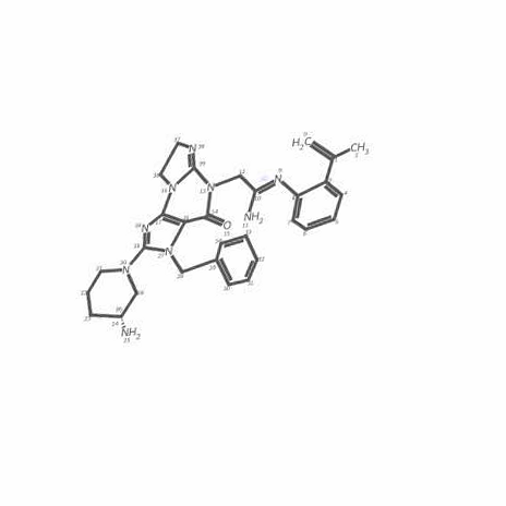 C=C(C)c1ccccc1/N=C(\N)CN1C(=O)c2c(nc(N3CCC[C@@H](N)C3)n2Cc2ccccc2)N2CCN=C12